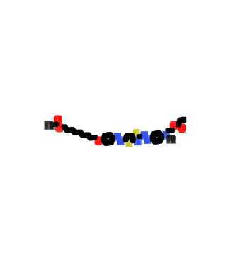 C=CC(=O)OCCN(CC)c1ccc(N=Nc2nc3sc(N=Nc4ccc(OCCCCCCCCCOC(=O)CC)cc4)cc3s2)cc1